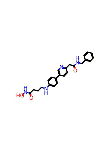 O=C(CCCNc1ccc(-c2ccc(CC(=O)NCc3ccccc3)nc2)cc1)NO